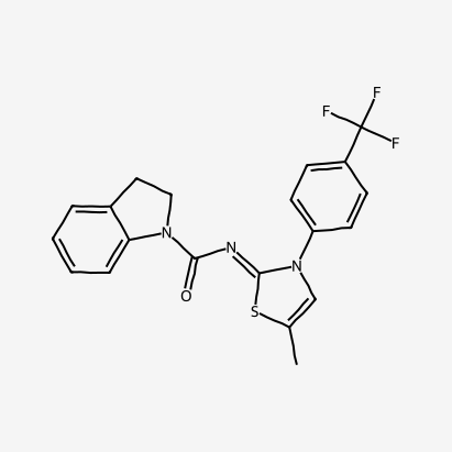 Cc1cn(-c2ccc(C(F)(F)F)cc2)c(=NC(=O)N2CCc3ccccc32)s1